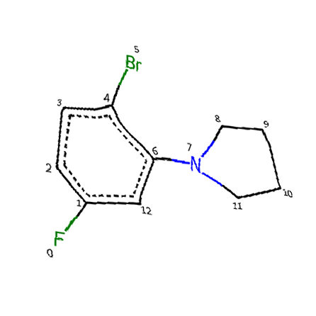 Fc1ccc(Br)c(N2CCCC2)c1